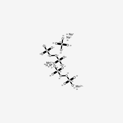 O=S(=O)([O-])OOS(=O)(=O)[O-].O=S(=O)([O-])OOS(=O)(=O)[O-].O=S(=O)([O-])[O-].[Mn+2].[NH4+].[NH4+].[Na+].[Na+]